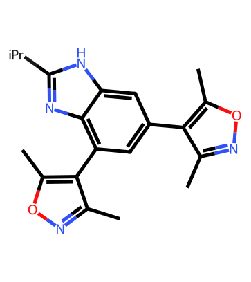 Cc1noc(C)c1-c1cc(-c2c(C)noc2C)c2nc(C(C)C)[nH]c2c1